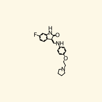 O=C1Nc2cc(F)ccc2C1=CNc1ccc(OCCN2CCCC2)cc1